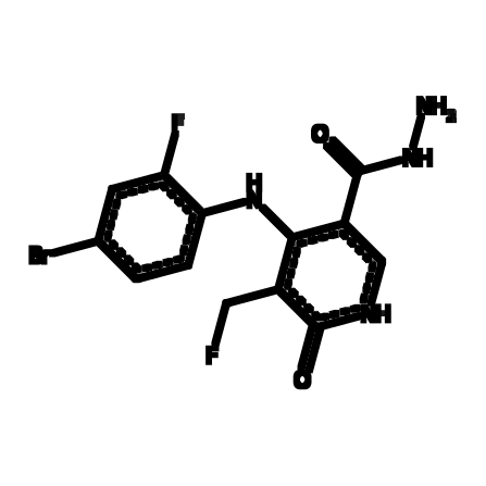 NNC(=O)c1c[nH]c(=O)c(CF)c1Nc1ccc(Br)cc1F